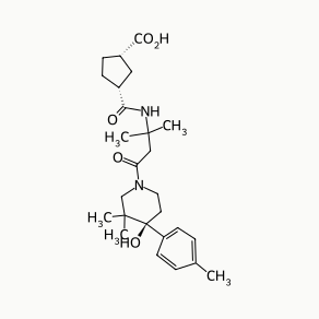 Cc1ccc([C@@]2(O)CCN(C(=O)CC(C)(C)NC(=O)[C@@H]3CC[C@H](C(=O)O)C3)CC2(C)C)cc1